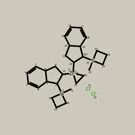 C[Si]1(C2C3C=CC=CC3C[CH]2[Zr+2]2([CH]3CC4C=CC=CC4C3[Si]3(C)CCC3)[CH2][CH2]2)CCC1.[Cl-].[Cl-]